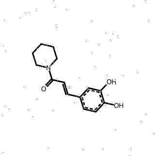 O=C(/C=C/c1ccc(O)c(O)c1)N1CCCCC1